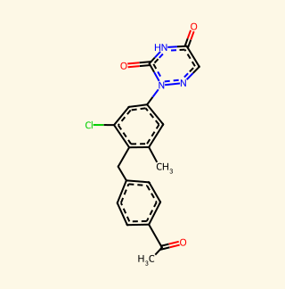 CC(=O)c1ccc(Cc2c(C)cc(-n3ncc(=O)[nH]c3=O)cc2Cl)cc1